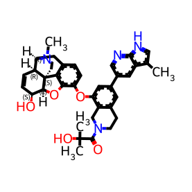 Cc1c[nH]c2ncc(-c3cc4c(c(Oc5ccc6c7c5O[C@H]5[C@@H](O)C=C[C@H]8[C@@H](C6)N(C)CC[C@@]785)c3)CN(C(=O)C(C)(C)O)CC4)cc12